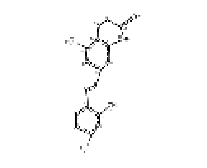 Cc1cc(O)ccc1C=Cc1cc(C)c2c(c1)NC(=O)CO2